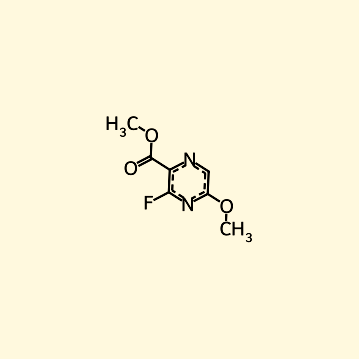 COC(=O)c1ncc(OC)nc1F